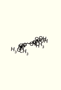 Cc1nc(OCCCC2CCN(c3nc(C(C)C)no3)CC2)ccc1C(=O)NC(CO)CO